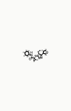 CCn1c(SC2(C(=O)Nc3ccccc3)CC2)nnc1-c1ccoc1